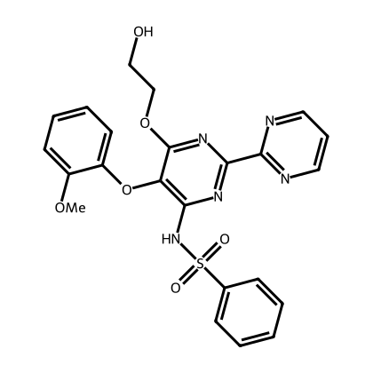 COc1ccccc1Oc1c(NS(=O)(=O)c2ccccc2)nc(-c2ncccn2)nc1OCCO